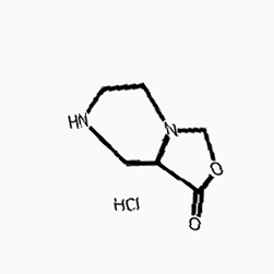 Cl.O=C1OCN2CCNCC12